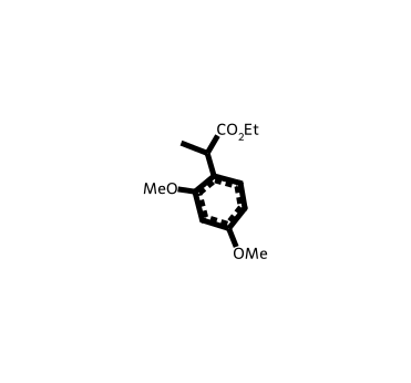 CCOC(=O)C(C)c1ccc(OC)cc1OC